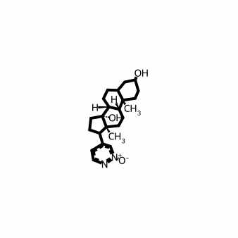 C[C@]12CCC(O)CC1CC[C@@H]1[C@H]2CC[C@]2(C)C(c3ccn[n+]([O-])c3)CC[C@@]12O